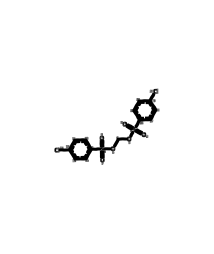 O=S(=O)(OCOS(=O)(=O)c1ccc(Cl)cc1)c1ccc(Cl)cc1